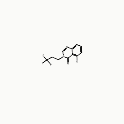 O=c1c2c(Cl)cccc2ncn1CCC(F)(F)F